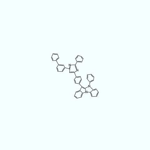 c1ccc(-c2cccc(-c3cc(-c4ccc(-c5c6ccccc6n6c7ccccc7n(-c7ccccc7)c56)cc4)nc(-c4ccccc4)n3)c2)cc1